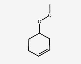 COOC1CC=CCC1